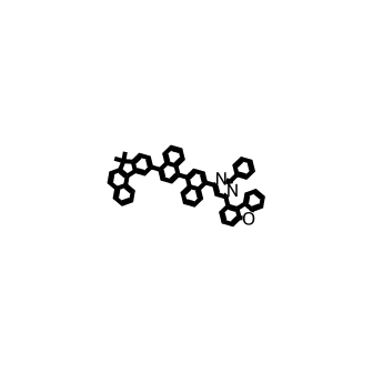 CC1(C)c2ccc(-c3ccc(-c4ccc(-c5cc(-c6cccc7oc8ccccc8c67)nc(-c6ccccc6)n5)c5ccccc45)c4ccccc34)cc2-c2c1ccc1ccccc21